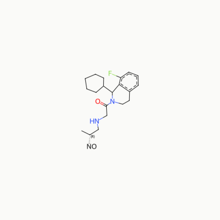 C[C@H](CNCC(=O)N1CCc2cccc(F)c2C1C1CCCCC1)N=O